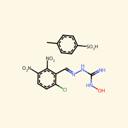 Cc1ccc(S(=O)(=O)O)cc1.N=C(NO)NN=Cc1c(Cl)ccc([N+](=O)[O-])c1[N+](=O)[O-]